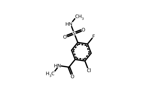 CNC(=O)c1cc(S(=O)(=O)NC)c(F)cc1Cl